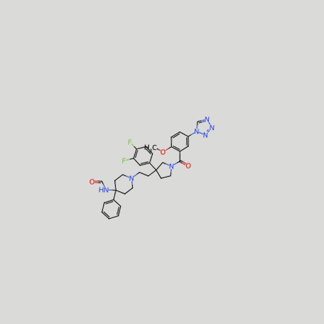 COc1ccc(-n2cnnn2)cc1C(=O)N1CCC(CCN2CCC(NC=O)(c3ccccc3)CC2)(c2ccc(F)c(F)c2)C1